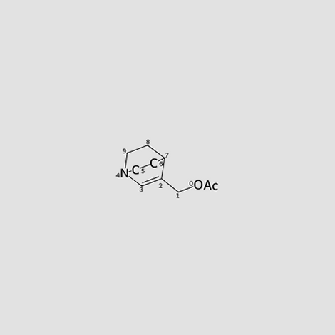 CC(=O)OCC1=CN2CCC1CC2